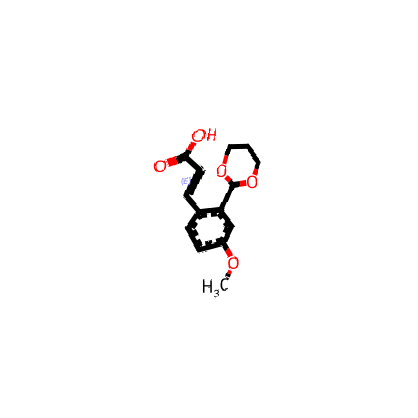 COc1ccc(/C=C/C(=O)O)c(C2OCCCO2)c1